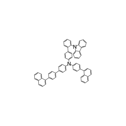 c1ccc(-n2c3ccccc3c3ccccc32)c(-c2ccc(N(c3ccc(-c4ccc(-c5cccc6ccccc56)cc4)cc3)c3ccc(-c4cccc5ccccc45)cc3)cc2)c1